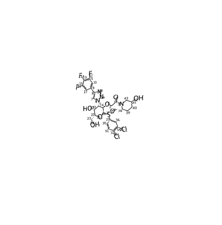 O=C(CO[C@@H]1[C@@H](n2cc(-c3cc(F)c(F)c(F)c3)nn2)[C@@H](O)[C@@H](CO)O[C@@H]1[S@@+]([O-])c1ccc(Cl)c(Cl)c1)N1CCCC(O)C1